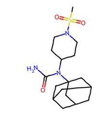 CS(=O)(=O)N1CCC(N(C(N)=O)C23CC4CC(CC(C4)C2)C3)CC1